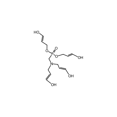 O=P(CN(CC=CO)CC=CO)(OCC=CO)OCC=CO